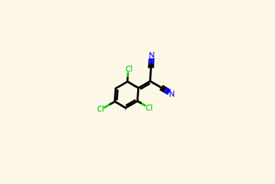 N#CC(C#N)=C1C(Cl)=[C]C(Cl)=CC1Cl